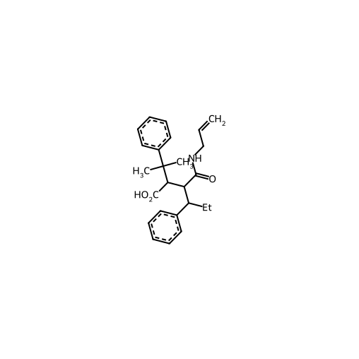 C=CCNC(=O)C(C(CC)c1ccccc1)C(C(=O)O)C(C)(C)c1ccccc1